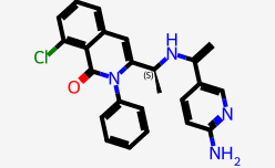 C=C(N[C@@H](C)c1cc2cccc(Cl)c2c(=O)n1-c1ccccc1)c1ccc(N)nc1